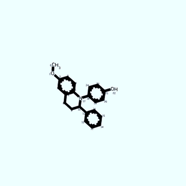 COc1ccc2c(c1)CCC(c1ccccc1)N2c1ccc(O)cc1